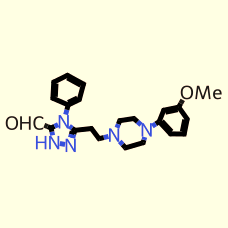 COc1cccc(N2CCN(CCC3=NNC(C=O)N3c3ccccc3)CC2)c1